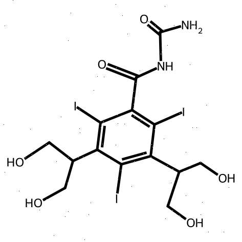 NC(=O)NC(=O)c1c(I)c(C(CO)CO)c(I)c(C(CO)CO)c1I